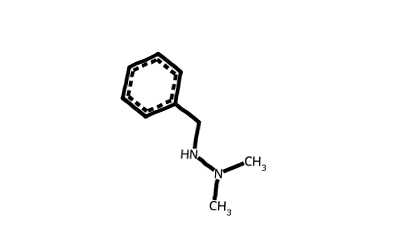 CN(C)NCc1ccccc1